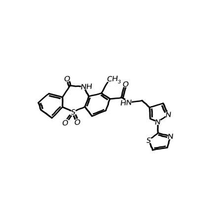 Cc1c(C(=O)NCc2cnn(-c3nccs3)c2)ccc2c1NC(=O)c1ccccc1S2(=O)=O